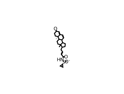 CC12CCC3C(C=CC4=CC(=O)CC[C@@]43C)C1CCC2C/C=C/C(=O)N[S+]([O-])C1CC1